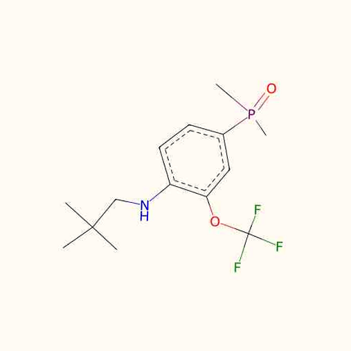 CC(C)(C)CNc1ccc(P(C)(C)=O)cc1OC(F)(F)F